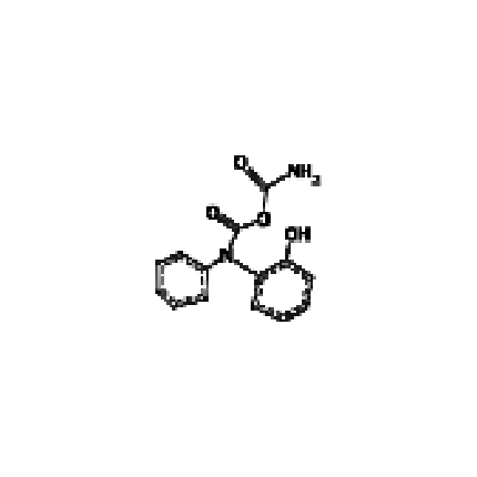 NC(=O)OC(=O)N(c1ccccc1)c1ccccc1O